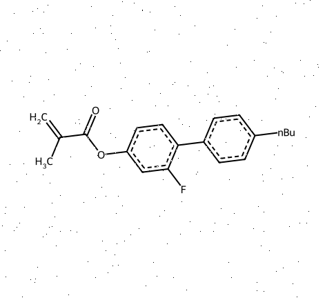 C=C(C)C(=O)Oc1ccc(-c2ccc(CCCC)cc2)c(F)c1